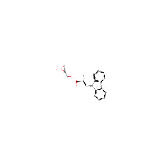 CC(=CC1c2ccccc2-c2ccccc21)C(=O)OCC1CO1